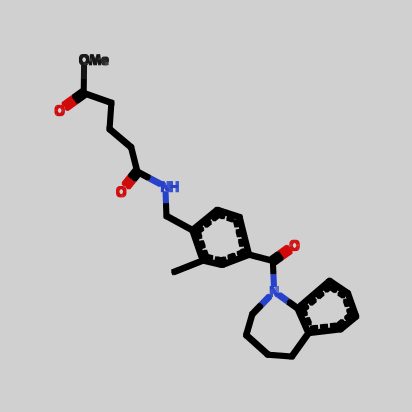 COC(=O)CCCC(=O)NCc1ccc(C(=O)N2CCCCc3ccccc32)cc1C